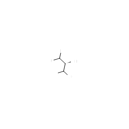 CC(C)[C@H](C)C(F)F